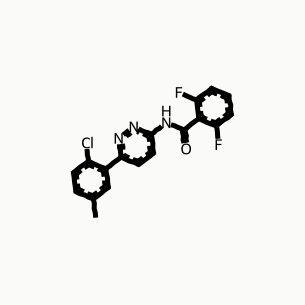 Cc1ccc(Cl)c(-c2ccc(NC(=O)c3c(F)cccc3F)nn2)c1